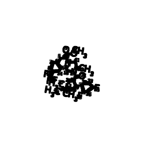 COC(=O)[C@H](Cc1ccc(C(F)(F)F)cc1)N1CCN(C(=O)[C@@H]2CN(C(C)(C)C)C[C@H]2c2ccc(F)cc2F)[C@@H](C)C1